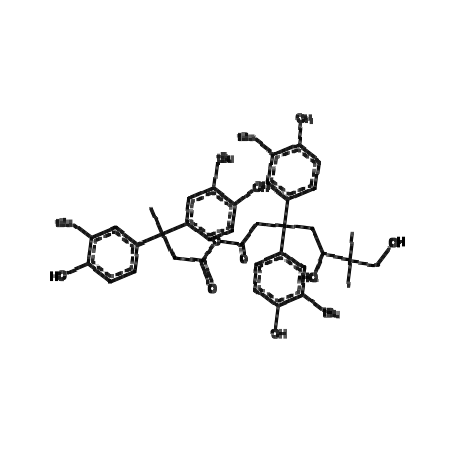 CC(C)(C)c1cc(C(C)(CC(=O)OC(=O)CC(CC(O)C(C)(C)CO)(c2ccc(O)c(C(C)(C)C)c2)c2ccc(O)c(C(C)(C)C)c2)c2ccc(O)c(C(C)(C)C)c2)ccc1O